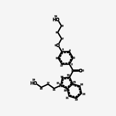 O=C(c1ccc(OCCCO)cc1)c1cn(CCCO)c2ccccc12